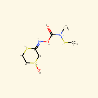 CN(SC(Cl)(Cl)Cl)C(=O)ON=C1C[S+]([O-])CCS1